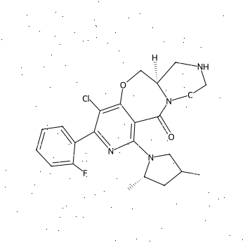 CC1C[C@H](C)N(c2nc(-c3ccccc3F)c(Cl)c3c2C(=O)N2CCNC[C@@H]2CO3)C1